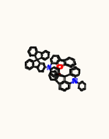 c1ccc(N2c3ccccc3C3(c4ccccc4)c4cc(N(c5ccc6c(c5)C5(c7ccccc7-c7ccccc75)c5ccccc5-6)c5cccc6c5oc5ccccc56)ccc4-c4cccc2c43)cc1